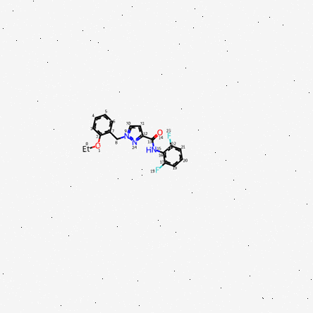 CCOc1ccccc1Cn1ccc(C(=O)Nc2c(F)cccc2F)n1